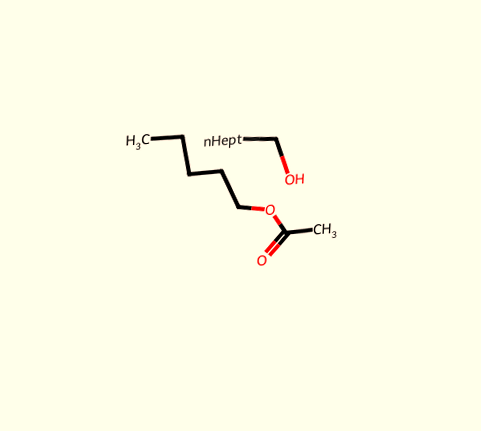 CCCCCCCCO.CCCCCOC(C)=O